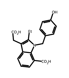 CCc1c(CC(=O)O)c2cccc(C(=O)O)c2n1Cc1ccc(O)cc1